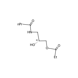 CCCC(=O)NC[C@@H](O)COC(=O)CC